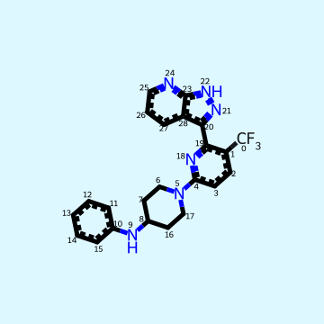 FC(F)(F)c1ccc(N2CCC(Nc3ccccc3)CC2)nc1-c1n[nH]c2ncccc12